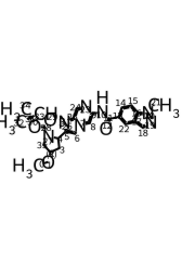 CO[C@@H]1CC(c2cn3cc(NC(=O)c4ccc5c(cnn5C)c4)ncc3n2)N(C(=O)OC(C)(C)C)C1